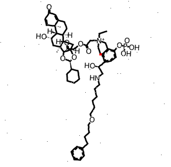 CC[N+](CC)(CC(=O)OCC(=O)[C@@]12O[C@H](C3CCCCC3)O[C@@H]1C[C@H]1[C@@H]3CCC4=CC(=O)C=C[C@]4(C)[C@H]3[C@@H](O)C[C@@]12C)Cc1cc([C@H](O)CNCCCCCCOCCCCc2ccccc2)ccc1OP(=O)(O)O